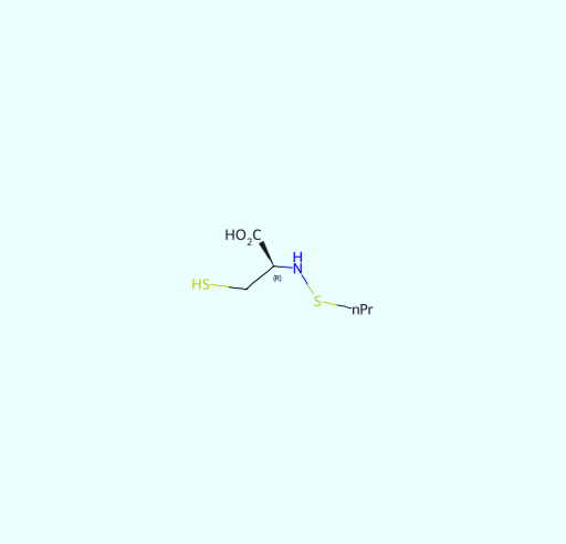 CCCSN[C@@H](CS)C(=O)O